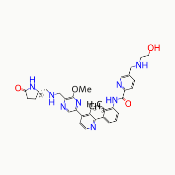 COc1nc(-c2ccnc(-c3cccc(NC(=O)c4ccc(CNCCO)cn4)c3C)c2C)cnc1CNC[C@@H]1CCC(=O)N1